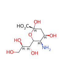 N[C@H]1C([C@H](O)[C@H](O)CO)O[C@@](O)(C(=O)O)C[C@H]1O